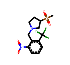 CS(=O)(=O)C1CCN(Cc2c([N+](=O)[O-])cccc2C(F)(F)F)C1